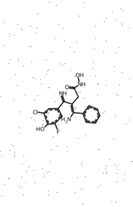 N=C(/C(CC(=O)NO)=C(\N)c1ccccc1)c1cc(F)c(O)c(Cl)c1